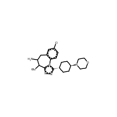 CC(C)(C)C1c2nnc([C@H]3CC[C@H](N4CCOCC4)CC3)n2-c2ccc(Cl)cc2CC1N